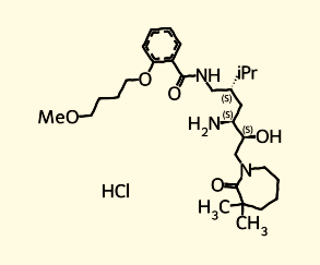 COCCCCOc1ccccc1C(=O)NC[C@@H](C[C@H](N)[C@@H](O)CN1CCCCC(C)(C)C1=O)C(C)C.Cl